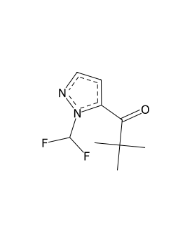 CC(C)(C)C(=O)c1ccnn1C(F)F